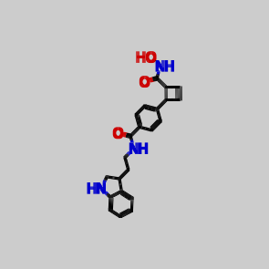 O=C(NCCC1CNc2ccccc21)c1ccc(C2C#CC2C(=O)NO)cc1